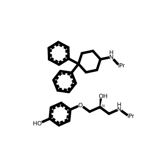 CC(C)NC1CCC(c2ccccc2)(c2ccccc2)CC1.CC(C)NC[C@H](O)COc1ccc(O)cc1